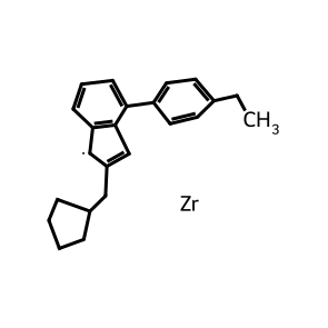 CCc1ccc(-c2cccc3c2C=C(CC2CCCC2)[CH]3)cc1.[Zr]